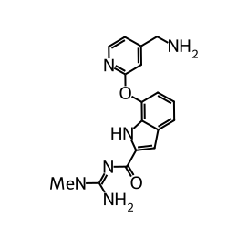 CNC(N)=NC(=O)c1cc2cccc(Oc3cc(CN)ccn3)c2[nH]1